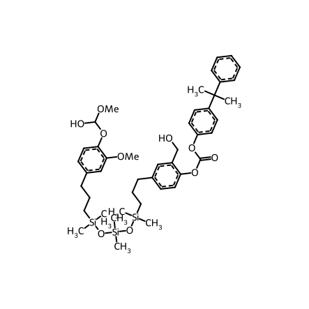 COc1cc(CCC[Si](C)(C)O[Si](C)(C)O[Si](C)(C)CCCc2ccc(OC(=O)Oc3ccc(C(C)(C)c4ccccc4)cc3)c(CO)c2)ccc1OC(O)OC